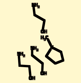 CN1CCCC1.NCCO.NCCO.NCCO